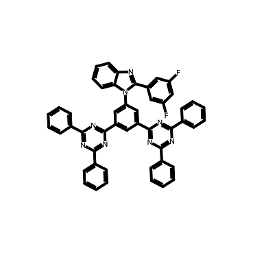 Fc1cc(F)cc(-c2nc3ccccc3n2-c2cc(-c3nc(-c4ccccc4)nc(-c4ccccc4)n3)cc(-c3nc(-c4ccccc4)nc(-c4ccccc4)n3)c2)c1